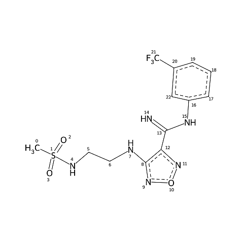 CS(=O)(=O)NCCNc1nonc1C(=N)Nc1cccc(C(F)(F)F)c1